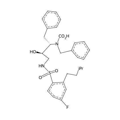 CC(C)CCc1cc(F)ccc1S(=O)(=O)NC[C@@H](O)[C@H](Cc1ccccc1)N(Cc1ccccc1)C(=O)O